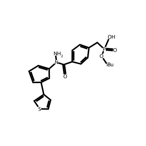 CCC(C)OP(=O)(O)Cc1ccc(C(=O)N(N)c2cccc(-c3ccsc3)c2)cc1